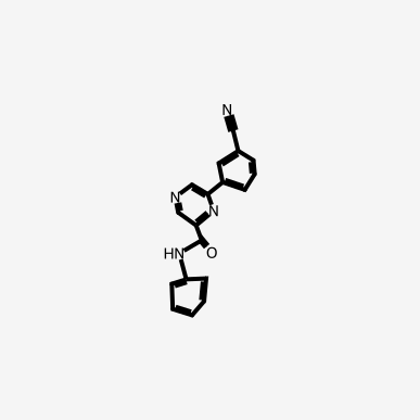 N#Cc1cccc(-c2cncc(C(=O)Nc3ccccc3)n2)c1